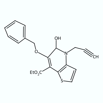 C#CCN1c2ccsc2C(C(=O)OCC)=C(OCc2ccccc2)C1O